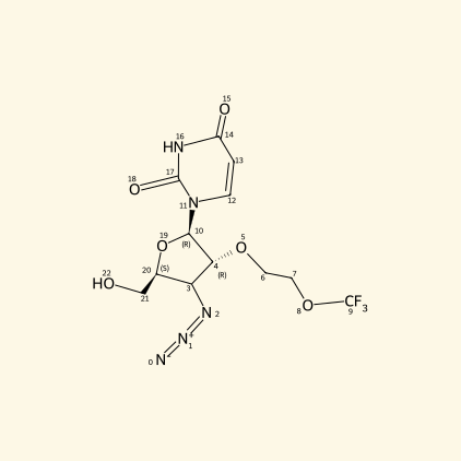 [N-]=[N+]=NC1[C@@H](OCCOC(F)(F)F)[C@H](n2ccc(=O)[nH]c2=O)O[C@@H]1CO